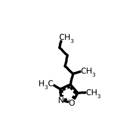 CCCCC(C)c1c(C)noc1C